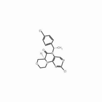 C[C@@H](c1ccc(Cl)cc1)N1C(=O)[C@@H]2COCCN2c2nc(Cl)ncc21